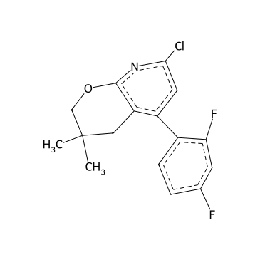 CC1(C)COc2nc(Cl)cc(-c3ccc(F)cc3F)c2C1